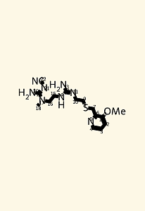 COc1cccnc1CSCCN=C(N)NCCN(C)C(N)=NC#N